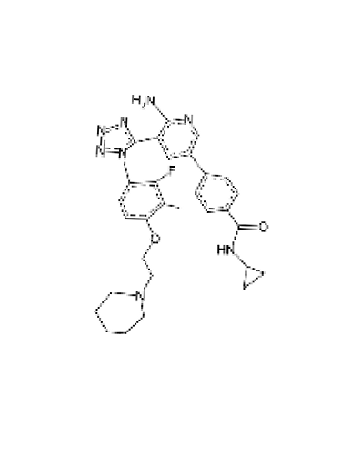 Cc1c(OCCN2CCCCC2)ccc(-n2nnnc2-c2cc(-c3ccc(C(=O)NC4CC4)cc3)cnc2N)c1F